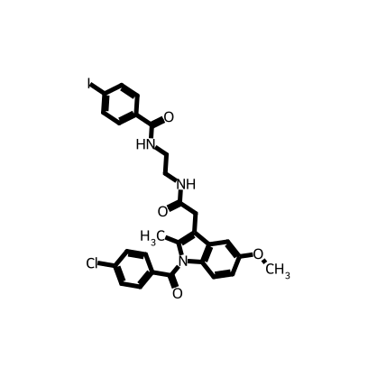 COc1ccc2c(c1)c(CC(=O)NCCNC(=O)c1ccc(I)cc1)c(C)n2C(=O)c1ccc(Cl)cc1